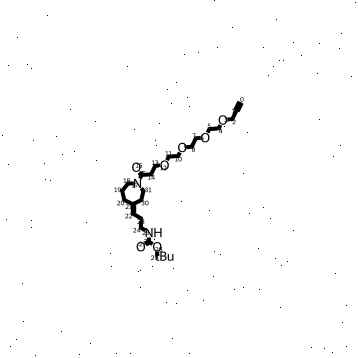 C#CCOCCOCCOCCOCCC(=O)N1CCC/C(=C/CCNC(=O)OC(C)(C)C)CC1